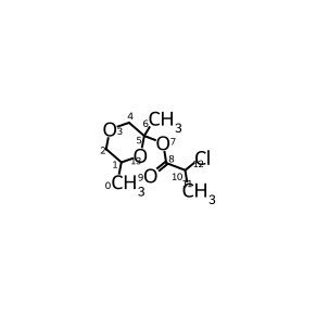 CC1COCC(C)(OC(=O)C(C)Cl)O1